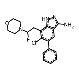 Nc1n[nH]c2c(CC(F)N3CCOCC3)c(Cl)c(-c3ccccc3)cc12